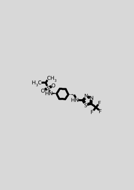 CC(C)S(=O)(=O)N[C@H]1CC[C@H](CNc2nnc(C(F)(F)F)s2)CC1